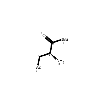 CC(=O)C[C@H](N)C(=O)C(C)(C)C